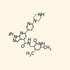 Cc1cc(C)c(CNC(=O)c2cc(-c3ccc(N4CCNCC4)nc3)nc3c2cnn3C(C)C)c(=O)[nH]1